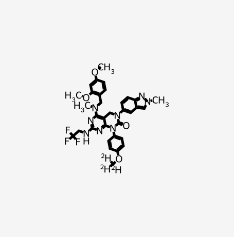 [2H]C([2H])([2H])Oc1ccc(N2C(=O)N(c3ccc4nn(C)cc4c3)Cc3c(N(C)Cc4ccc(OC)cc4OC)nc(NCC(F)(F)F)nc32)cc1